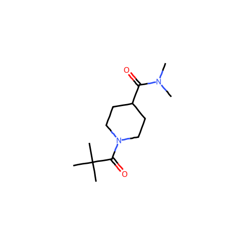 CN(C)C(=O)C1CCN(C(=O)C(C)(C)C)CC1